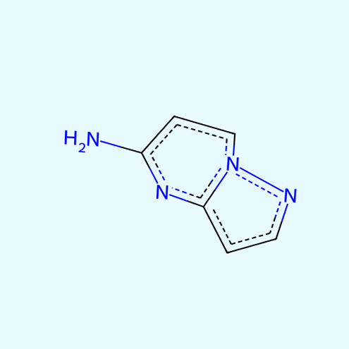 Nc1ccn2nccc2n1